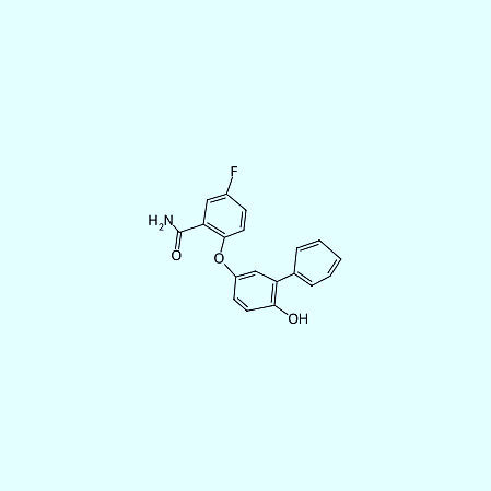 NC(=O)c1cc(F)ccc1Oc1ccc(O)c(-c2ccccc2)c1